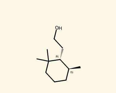 C[C@H]1CCCC(C)(C)[C@@H]1CCO